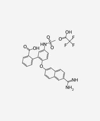 CS(=O)(=O)Nc1ccc(Oc2ccc3cc(C(=N)N)ccc3c2)c(-c2ccccc2C(=O)O)c1.O=C(O)C(F)(F)F